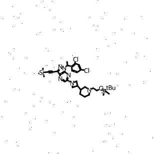 CC(c1ccc(Cl)cc1Cl)n1nc(C#C[Si](C)(C)C)c2ncc(N3CC(C4CCCN(CCO[Si](C)(C)C(C)(C)C)C4)C3)nc21